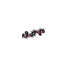 COc1c(C(=O)N(C)c2ccccc2F)cc2ccccc2c1N=Nc1ccc2c(c1)C(=O)c1ccc(N=Nc3c(OC)c(C(=O)N(C)c4ccccc4F)cc4ccccc34)cc1C2=O